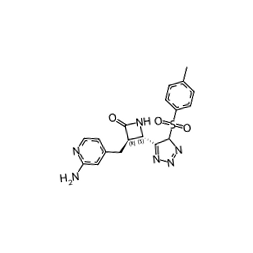 Cc1ccc(S(=O)(=O)C2N=NN=C2[C@H]2NC(=O)[C@@H]2Cc2ccnc(N)c2)cc1